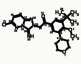 COc1c(N2CCOCC2)cc(C(=O)Cn2nc3ccc(Cl)nn3c2=N)cc1C(C)(C)C